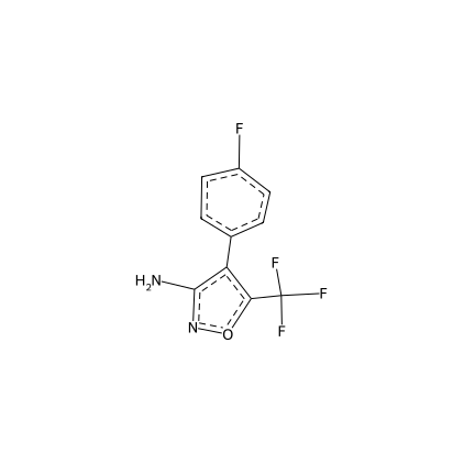 Nc1noc(C(F)(F)F)c1-c1ccc(F)cc1